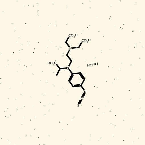 CC(C(=O)O)N(CCN(CC(=O)O)CC(=O)O)c1ccc(N=C=S)cc1.Cl.Cl